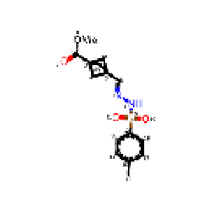 COC(=O)C12CC(/C=N/NS(=O)(=O)c3ccc(C)cc3)(C1)C2